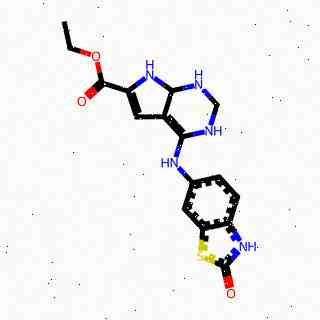 CCOC(=O)C1=CC2=C(Nc3ccc4[nH]c(=O)sc4c3)NCNC2N1